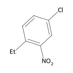 [CH2]Cc1ccc(Cl)cc1[N+](=O)[O-]